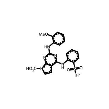 COc1ccccc1Nc1nc(Nc2ccccc2S(=O)(=O)C(C)C)c2ccn(C(=O)O)c2n1